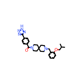 CC(C)COc1ccccc1CN1CCC2(CC1)CCN(C(=O)c1ccc(-c3nn[nH]n3)cc1)CC2